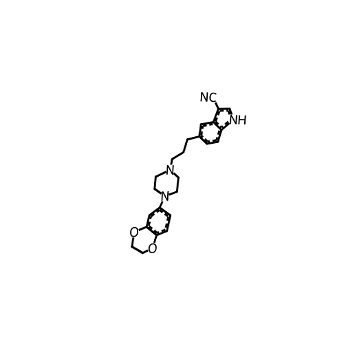 N#Cc1c[nH]c2ccc(CCCN3CCN(c4ccc5c(c4)OCCO5)CC3)cc12